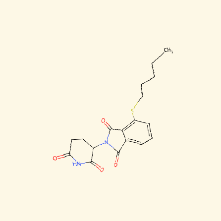 CCCCCSc1cccc2c1C(=O)N(C1CCC(=O)NC1=O)C2=O